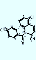 N#CC1C=Cc2c(Cl)cccc2N1C(=O)c1ccc(Cl)cc1